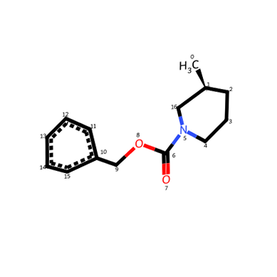 C[C@H]1CCCN(C(=O)OCc2ccccc2)C1